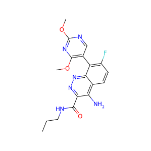 CCCNC(=O)c1nnc2c(-c3cnc(OC)nc3OC)c(F)ccc2c1N